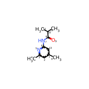 Cc1cc(C)nc(NC(=O)C(C)C)c1